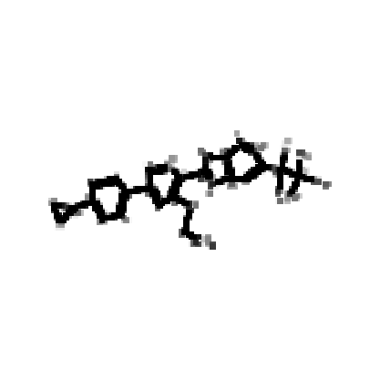 CCSc1cc(-c2ccc(C3CC3)cc2)cnc1-c1nc2cc(C(F)(F)C(F)(F)F)nnc2o1